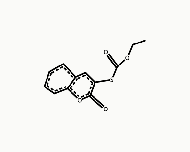 CCOC(=O)Sc1cc2ccccc2oc1=O